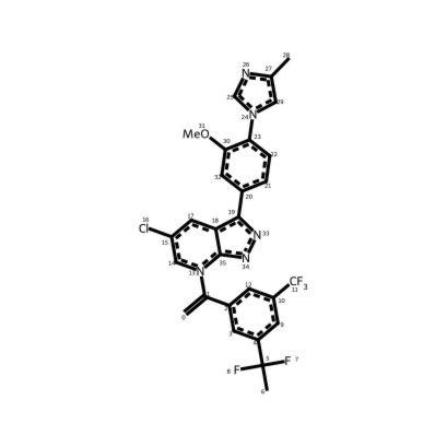 C=C(c1cc(C(C)(F)F)cc(C(F)(F)F)c1)n1cc(Cl)cc2c(-c3ccc(-n4cnc(C)c4)c(OC)c3)nnc1-2